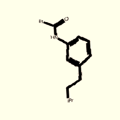 CCC(=O)Nc1cccc(CCC(C)C)c1